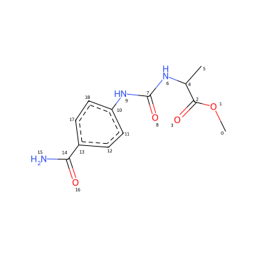 COC(=O)C(C)NC(=O)Nc1ccc(C(N)=O)cc1